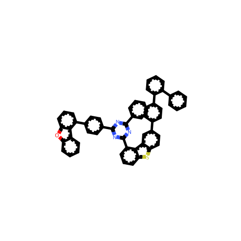 c1ccc(-c2nc(-c3ccc(-c4cccc5oc6ccccc6c45)cc3)nc(-c3cccc4sc5ccc(-c6ccc(-c7ccccc7-c7ccccc7)cc6)cc5c34)n2)cc1